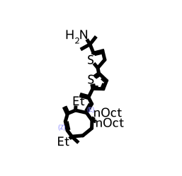 C=C(/C=C1\C(CC)C(=C)/C=C\C(C)(CC)CCC1(CCCCCCCC)CCCCCCCC)c1ccc(C2CC=C(C(C)(C)N)S2)s1